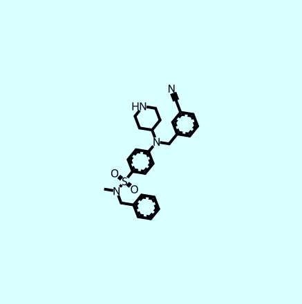 CN(Cc1ccccc1)S(=O)(=O)c1ccc(N(Cc2cccc(C#N)c2)C2CCNCC2)cc1